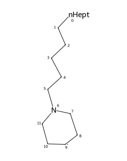 CCCCCCCCCCCCN1CC[CH]CC1